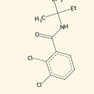 CCC(C)(C)NC(=O)c1cccc(Cl)c1Cl